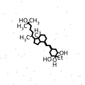 CCC1(O)[C@H](O)CC(=C/C=C2\CCCC3(C)C2CCC3[C@@H](C)CCCC(C)(C)O)C[C@H]1O